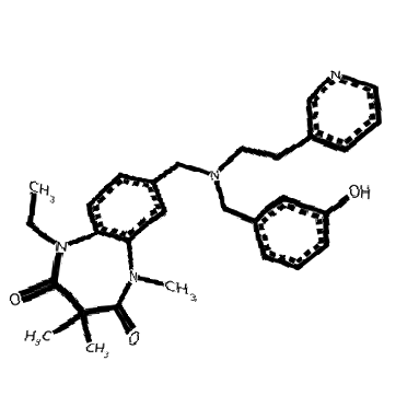 CCN1C(=O)C(C)(C)C(=O)N(C)c2cc(CN(CCc3cccnc3)Cc3cccc(O)c3)ccc21